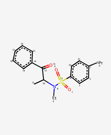 CCCc1ccc(S(=O)(=O)N(CC)C(C)C(=O)c2ccccc2)cc1